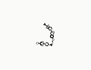 O=C(Cc1ccc(OCC[C@@H]2C[C@@H]2C2CCN(c3ncc(Cl)cn3)CC2)cc1F)N1CCc2sc(C3CC3)nc2C1